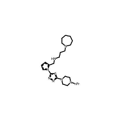 CCCN1CCN(c2nnc(-n3cccc3CNCCCN3CCCCCC3)s2)CC1